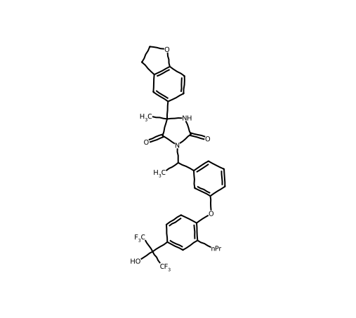 CCCc1cc(C(O)(C(F)(F)F)C(F)(F)F)ccc1Oc1cccc(C(C)N2C(=O)NC(C)(c3ccc4c(c3)CCO4)C2=O)c1